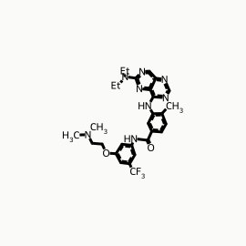 CCN(CC)c1ncc2ncnc(Nc3cc(C(=O)Nc4cc(OCCN(C)C)cc(C(F)(F)F)c4)ccc3C)c2n1